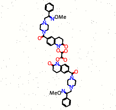 CON=C(CN1CCN(C(=O)c2ccc3c(c2)CCC(=O)N3OC(=O)C(=O)ON2C(=O)CCc3cc(C(=O)N4CCN(CC(=NOC)c5ccccc5)CC4)ccc32)CC1)c1ccccc1